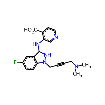 CN(C)CC#CCN1NC(Nc2cnccc2C(=O)O)c2cc(F)ccc21